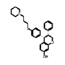 Oc1ccc2c(c1)OC[C@@H](c1ccccc1)[C@H]2c1ccc(SCCCN2CCCCC2)cc1